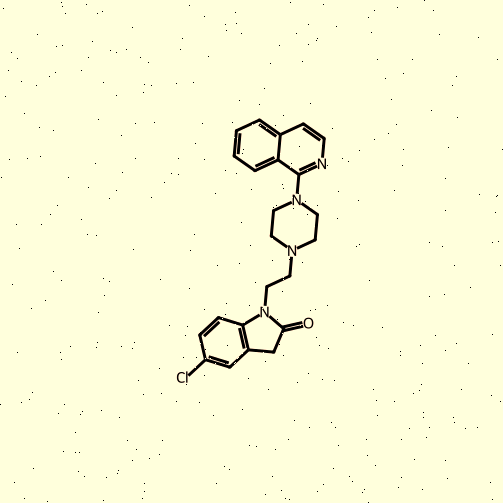 O=C1Cc2cc(Cl)ccc2N1CCN1CCN(c2nccc3ccccc23)CC1